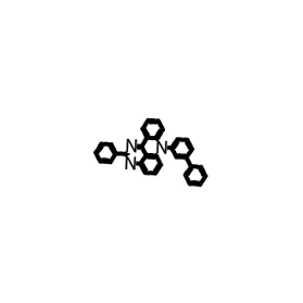 c1ccc(-c2cccc(N3c4ccccc4-c4nc(-c5ccccc5)nc5cccc3c45)c2)cc1